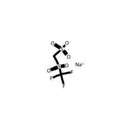 O=S(=O)([O-])CS(=O)(=O)C(F)(F)F.[Na+]